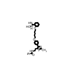 Cc1nc(-c2ccc(OCCCCCOc3ccccc3C(=N)NO)cc2)c(CCNC(=O)C(C)C)s1